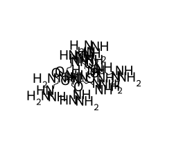 N=C(N)NCCCC(NC(=O)[C@H](CCCNC(=N)N)NC(=O)C(CCCNC(=N)N)NC(=O)[C@H](CCCNC(=N)N)NC(=O)C(CCCNC(=N)N)NC(=O)[C@@H](N)CCCNC(=N)N)C(=O)N[C@@H](CCCNC(=N)N)C(N)=O